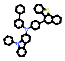 c1ccc(-c2cccc(N(c3ccc(-c4cc5ccccc5c5sc6ccccc6c45)cc3)c3ccc4c5ccccc5n(-c5ccccc5)c4c3)c2)cc1